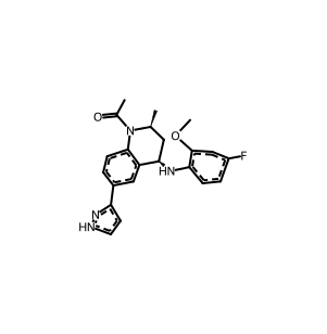 COc1cc(F)ccc1N[C@@H]1C[C@H](C)N(C(C)=O)c2ccc(-c3cc[nH]n3)cc21